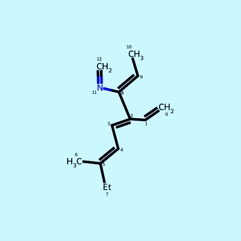 C=CC(=C\C=C(/C)CC)/C(=C/C)N=C